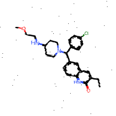 CCc1cc2cc(C(c3ccc(Cl)cc3)N3CCC(NCCOC)CC3)ccc2[nH]c1=O